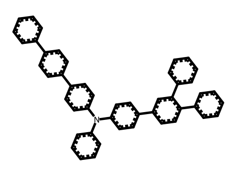 c1ccc(-c2ccc(-c3ccc(N(c4ccccc4)c4ccc(-c5ccc(-c6ccccc6)c(-c6ccccc6)c5)cc4)cc3)cc2)cc1